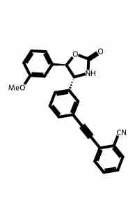 COc1cccc([C@H]2OC(=O)N[C@@H]2c2cccc(C#Cc3ccccc3C#N)c2)c1